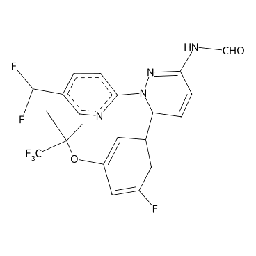 CC(C)(OC1=CC(C2C=CC(NC=O)=NN2c2ccc(C(F)F)cn2)CC(F)=C1)C(F)(F)F